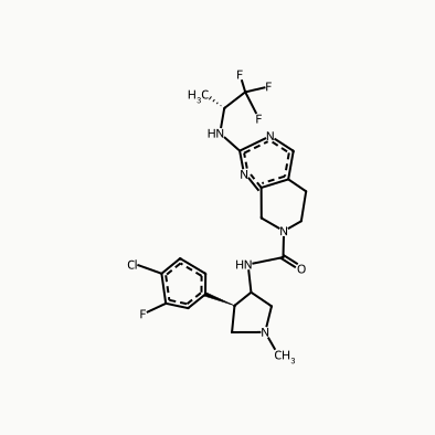 C[C@@H](Nc1ncc2c(n1)CN(C(=O)NC1CN(C)C[C@H]1c1ccc(Cl)c(F)c1)CC2)C(F)(F)F